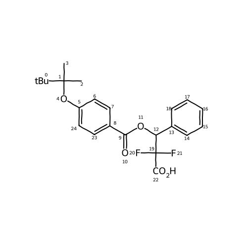 CC(C)(C)C(C)(C)Oc1ccc(C(=O)OC(c2ccccc2)C(F)(F)C(=O)O)cc1